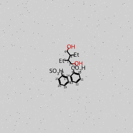 CCC(CO)C(CC)CO.O=C(O)c1ccccc1.O=S(=O)(O)c1ccccc1